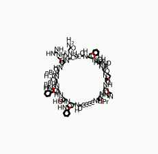 CCCC[C@H]1C(=O)N(C)[C@@H](CCCC)C(=O)N[C@@H](CCCNC(=N)N)C(=O)N[C@H](C(=O)NCC(N)=O)CSCC(=O)N[C@@H](Cc2ccccc2)C(=O)N(C)[C@@H](C)C(=O)N[C@@H](CC(N)=O)C(=O)N2CCC[C@H]2C(=O)N[C@@H](Cc2cnc[nH]2)C(=O)N[C@@H](CC(C)C)C(=O)NCCCCC(=O)N[C@@H](Cc2c[nH]c3ccccc23)C(=O)N[C@@H](CO)C(=O)N[C@@H](Cc2c[nH]c3ccccc23)C(=O)N1C